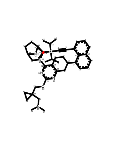 CC(C)[Si](C#Cc1cccc2cccc(C3CCc4c(nc(OCC5(CN(C)C)CC5)nc4N4CC5CCC(C4)N5)C3)c12)(C(C)C)C(C)C